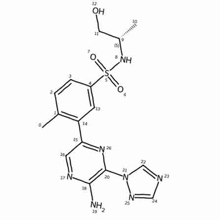 Cc1ccc(S(=O)(=O)N[C@@H](C)CO)cc1-c1cnc(N)c(-n2cncn2)n1